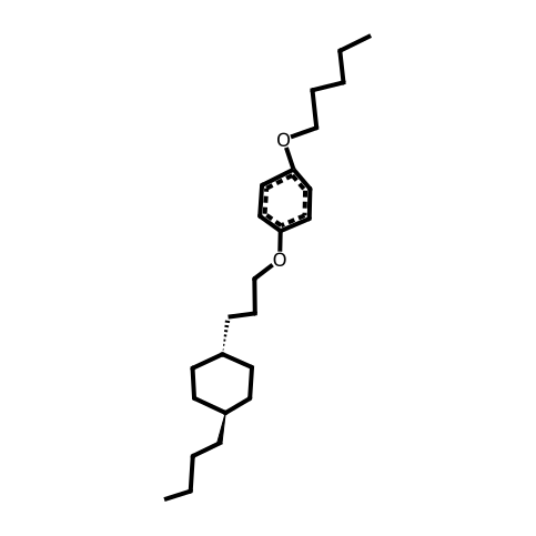 CCCCCOc1ccc(OCCC[C@H]2CC[C@H](CCCC)CC2)cc1